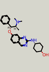 C[C@@H]([C@H](Oc1ccc2cnc(N[C@H]3CC[C@H](O)CC3)nc2c1)c1ccccc1)N(C)C